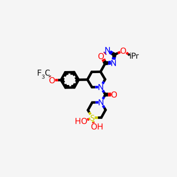 CC(C)Oc1noc(C2CC(c3ccc(OC(F)(F)F)cc3)CN(C(=O)N3CCS(O)(O)CC3)C2)n1